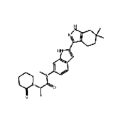 CC(C(=O)N(C)c1ccc2cc(-c3n[nH]c4c3CCC(C)(C)C4)[nH]c2c1)N1CCCCC1=O